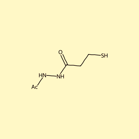 CC(=O)NNC(=O)CCS